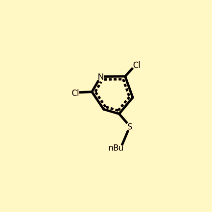 CCCCSc1cc(Cl)nc(Cl)c1